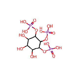 O=P(O)(O)OC1C(O)C(O)C(O)C(OP(=O)(O)O)C1OP(=O)(O)O